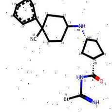 CCC(=N)NC(=O)[C@H]1CC[C@@H](NC2CCC(C#N)(c3ccccc3)CC2)C1